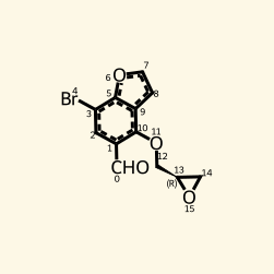 O=Cc1cc(Br)c2occc2c1OC[C@H]1CO1